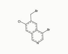 Clc1cc2cncc(Br)c2cc1CBr